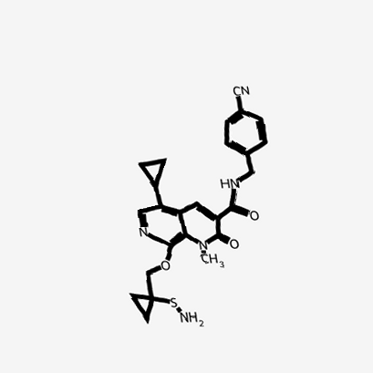 Cn1c(=O)c(C(=O)NCc2ccc(C#N)cc2)cc2c(C3CC3)cnc(OCC3(SN)CC3)c21